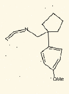 COc1ccc(C2(CN=C=S)CCCC2)cc1